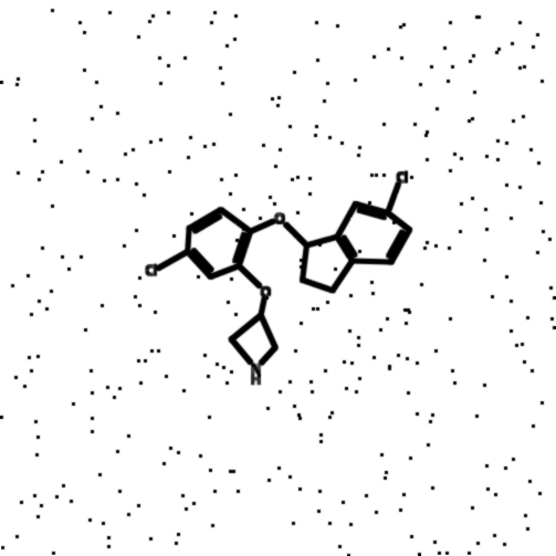 Clc1ccc(OC2CCc3ccc(Cl)cc32)c(OC2CNC2)c1